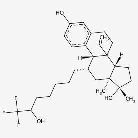 C=CC12CCc3cc(O)ccc3[C@H]1[C@@H](CCCCCC(O)C(F)(F)F)C[C@@]1(C)[C@H]2CC[C@]1(C)O